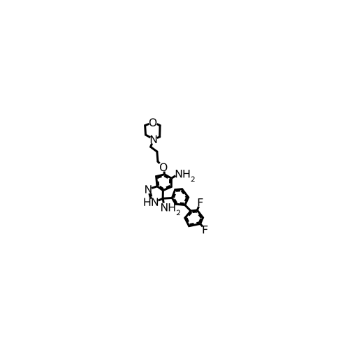 Nc1cc2c(cc1OCCCN1CCOCC1)N=CNC2(N)c1cccc(-c2ccc(F)cc2F)c1